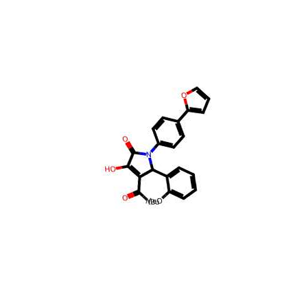 COc1ccccc1C1C(C(=O)C(C)(C)C)=C(O)C(=O)N1c1ccc(-c2ccco2)cc1